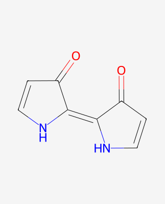 O=C1C=CN/C1=C1\NC=CC1=O